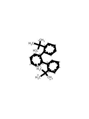 CC(C)(C)c1ccccc1-c1cccnc1-c1ccccc1C(C)(C)C